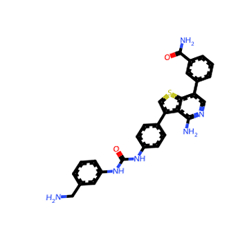 NCc1cccc(NC(=O)Nc2ccc(-c3csc4c(-c5cccc(C(N)=O)c5)cnc(N)c34)cc2)c1